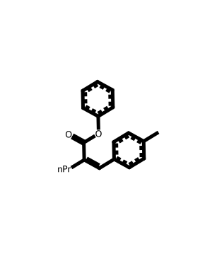 CCCC(=Cc1ccc(C)cc1)C(=O)Oc1ccccc1